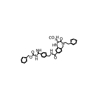 N=C(NC(=O)OCc1ccccc1)c1ccc(CNC(=O)c2ccc3c(c2)N[C@@H](CC(=O)O)C(=O)N(CCc2ccccc2)C3)cc1